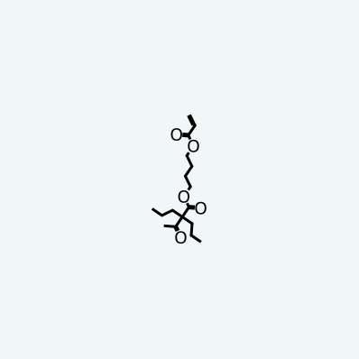 C=CC(=O)OCCCCOC(=O)C(CCC)(CCC)C(C)=O